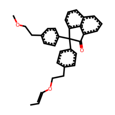 CC=COCCc1ccc(C2(c3ccc(CCOC)cc3)C(=O)c3cccc4cccc2c34)cc1